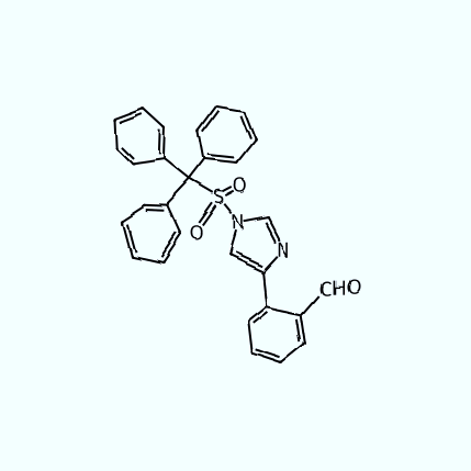 O=Cc1ccccc1-c1cn(S(=O)(=O)C(c2ccccc2)(c2ccccc2)c2ccccc2)cn1